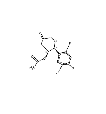 NC(=O)O[C@H]1CC(=O)CO[C@H]1c1cc(F)c(F)cc1F